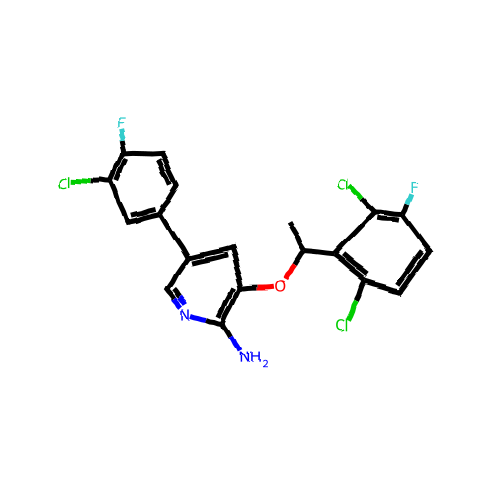 CC(Oc1cc(-c2ccc(F)c(Cl)c2)cnc1N)c1c(Cl)ccc(F)c1Cl